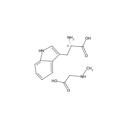 CNCC(=O)O.N[C@@H](Cc1c[nH]c2ccccc12)C(=O)O